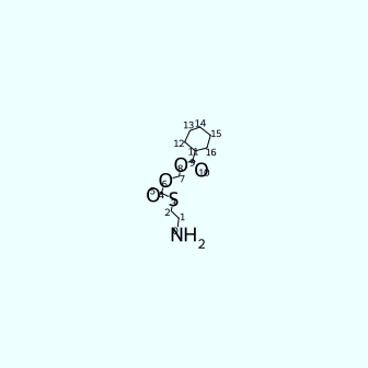 NCCSC(=O)OCOC(=O)C1CCCCC1